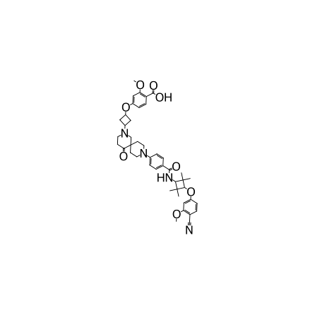 COc1cc(OC2C(C)(C)C(NC(=O)c3ccc(N4CCC5(CC4)CN(C4CC(Oc6ccc(C(=O)O)c(OC)c6)C4)CCC5=O)cc3)C2(C)C)ccc1C#N